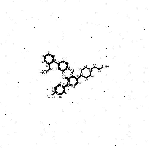 O=c1c(Oc2ccc(-c3ccccc3CO)cc2)c(N2CCN(CCO)CC2)cnn1-c1ccc(Cl)cc1